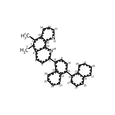 Cc1c(C)c2ccc(-c3ccc(-c4cccc5ccccc45)c4ccccc34)nc2c2ncccc12